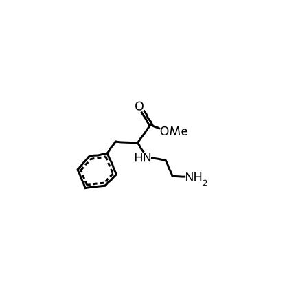 COC(=O)C(Cc1ccccc1)NCCN